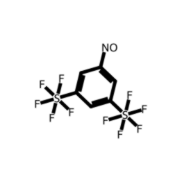 O=Nc1cc(S(F)(F)(F)(F)F)cc(S(F)(F)(F)(F)F)c1